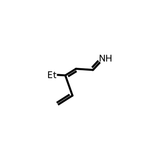 C=C/C(=C\C=N)CC